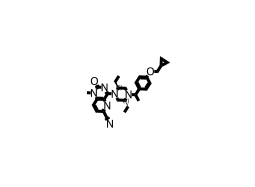 CC[C@H]1CN(C(C)c2ccc(OCC3CC3)cc2)[C@H](CC)CN1c1nc(=O)n(C)c2ccc(C#N)nc12